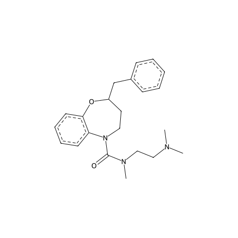 CN(C)CCN(C)C(=O)N1CCC(Cc2ccccc2)Oc2ccccc21